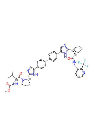 COC(=O)N[C@H](C(=O)N1CCC[C@H]1c1ncc(-c2ccc(-c3ccc(-c4cnc([C@H]5C6CCC(C6)[C@@H]5C(=O)NCc5cccnc5C(F)(F)F)[nH]4)cc3)cc2)[nH]1)C(C)C